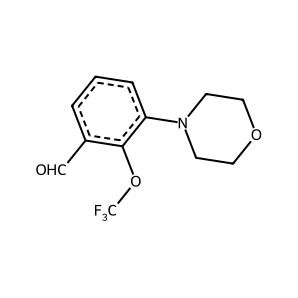 O=Cc1cccc(N2CCOCC2)c1OC(F)(F)F